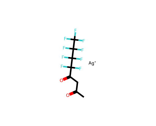 CC(=O)CC(=O)C(F)(F)C(F)(F)C(F)(F)C(F)(F)F.[Ag+]